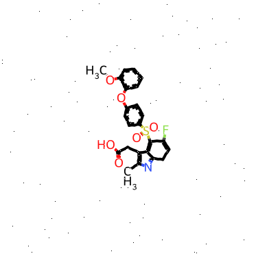 COc1ccccc1Oc1ccc(S(=O)(=O)C2=C3C(=NC(C)=C3CC(=O)O)CC=C2F)cc1